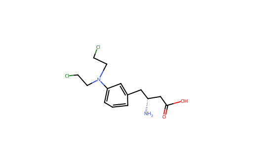 N[C@@H](CC(=O)O)Cc1cccc(N(CCCl)CCCl)c1